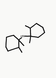 CC1CCCCC1(C)NC1(C)CCCCC1C